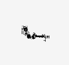 O=C(CCCCCCn1ccc(Oc2ccc(NC(=O)Nc3ccc(Cl)c(C(F)(F)F)c3)cc2)cc1=O)NO